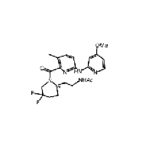 COc1ccnc(Nc2ccc(C)c(C(=O)N3CC(F)(F)CC[C@@H]3CCNC(C)=O)n2)c1